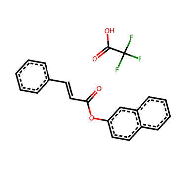 O=C(C=Cc1ccccc1)Oc1ccc2ccccc2c1.O=C(O)C(F)(F)F